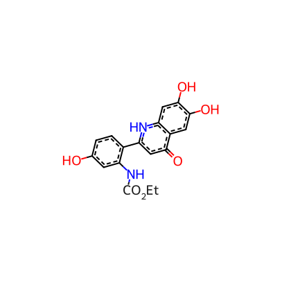 CCOC(=O)Nc1cc(O)ccc1-c1cc(=O)c2cc(O)c(O)cc2[nH]1